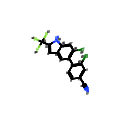 N#Cc1ccc(-c2cc3cc(C(F)(F)F)[nH]c3cc2Cl)c(Cl)c1